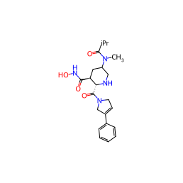 CC(C)C(=O)N(C)C1CN[C@H](C(=O)N2CC=C(c3ccccc3)C2)[C@@H](C(=O)NO)C1